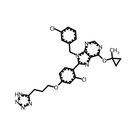 CC1(Oc2ncnc3c2nc(-c2ccc(OCCCc4nnn[nH]4)cc2Cl)n3Cc2cccc(Cl)c2)CC1